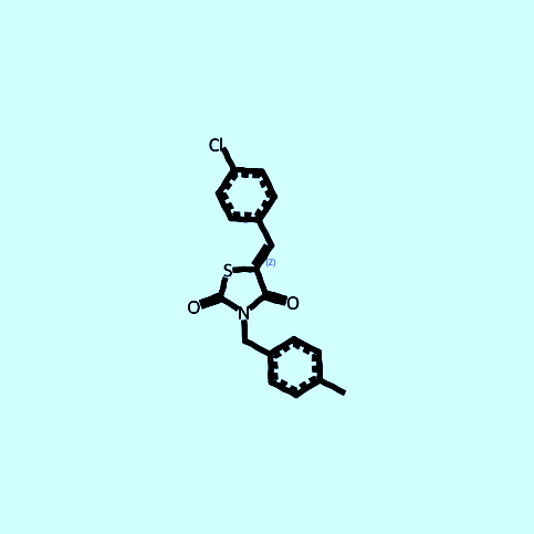 Cc1ccc(CN2C(=O)S/C(=C\c3ccc(Cl)cc3)C2=O)cc1